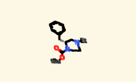 CCN1CCN(C(=O)OC(C)(C)C)[C@H](Cc2ccccc2)C1